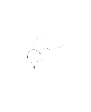 CCCCOC[C@H]1O[S@@](=O)OC[C@H]1OCCCC